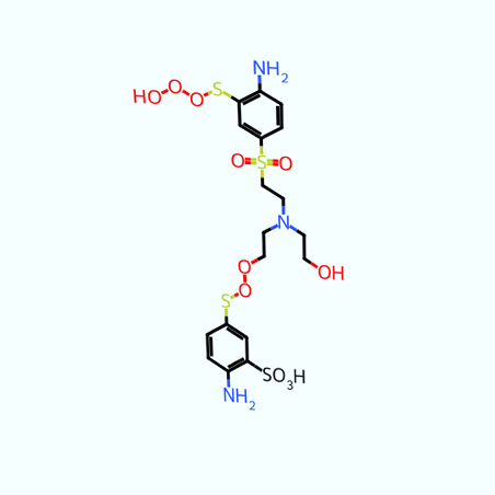 Nc1ccc(S(=O)(=O)CCN(CCO)CCOOSc2ccc(N)c(S(=O)(=O)O)c2)cc1SOOO